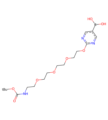 CC(C)(C)OC(=O)NCCOCCOCCOCCOc1ncc(B(O)O)cn1